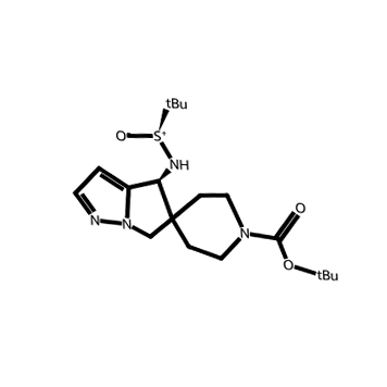 CC(C)(C)OC(=O)N1CCC2(CC1)Cn1nccc1[C@H]2N[S@@+]([O-])C(C)(C)C